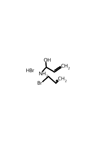 Br.C=CC(N)O.C=CCBr